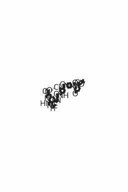 Cn1c(-c2c(C(F)(F)F)n[nH]c2-c2ccc([N+](=O)[O-])cn2)cnc1C(=O)Nc1ccc(C(=O)N2CCN(C(=O)[C@@H]3CC(=O)CCN3C(=O)OC(C)(C)C)CC2)c(Cl)c1